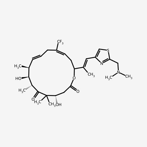 C/C(=C\c1csc(CN(C)C)n1)C1C/C=C(/C(F)(F)F)C/C=C/[C@H](C)[C@H](O)[C@@H](C)C(=O)C(C)(C)[C@@H](O)CC(=O)O1